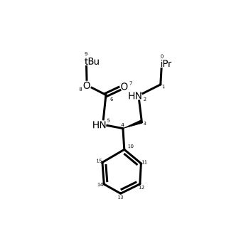 CC(C)CNC[C@H](NC(=O)OC(C)(C)C)c1ccccc1